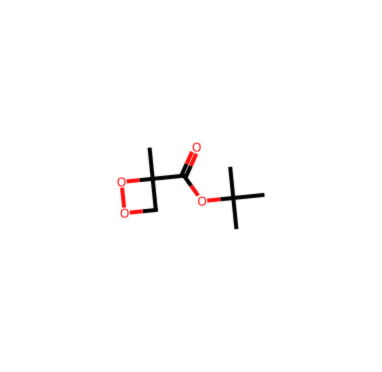 CC(C)(C)OC(=O)C1(C)COO1